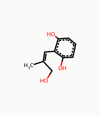 C/C(=C/c1c(O)cccc1O)CO